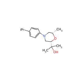 CC(C)c1ccc(N2C[C@@H](C(C)(C)O)O[C@@H](C)C2)cc1